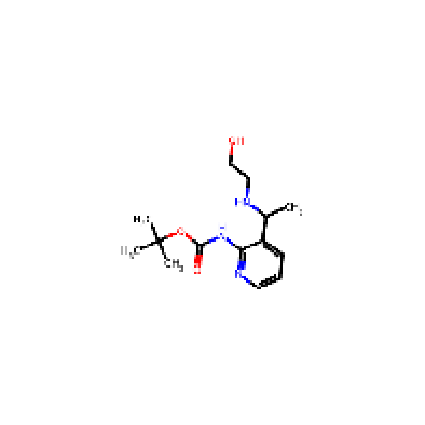 CC(NCCO)c1cccnc1NC(=O)OC(C)(C)C